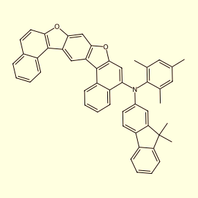 Cc1cc(C)c(N(c2ccc3c(c2)C(C)(C)c2ccccc2-3)c2cc3oc4cc5oc6ccc7ccccc7c6c5cc4c3c3ccccc23)c(C)c1